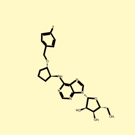 OC[C@H]1O[C@@H](n2cnc3c(N[C@H]4CCC[C@@H]4OCc4ccc(F)cc4)ncnc32)[C@H](O)[C@@H]1O